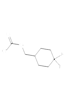 O=C(Cl)OCC1CCC(F)(F)CC1